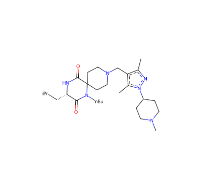 CCCCN1C(=O)[C@H](CC(C)C)NC(=O)C12CCN(Cc1c(C)nn(C3CCN(C)CC3)c1C)CC2